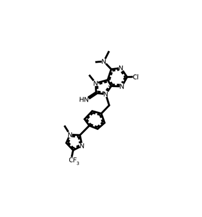 CN(C)c1nc(Cl)nc2c1n(C)c(=N)n2Cc1ccc(-c2nc(C(F)(F)F)cn2C)cc1